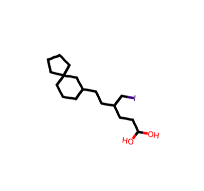 OC(O)CCC(CI)CCC1CCCC2(CCCC2)C1